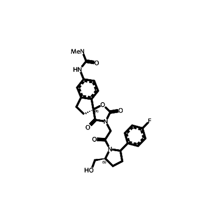 CNC(=O)Nc1ccc2c(c1)CC[C@@]21OC(=O)N(CC(=O)N2C(c3ccc(F)cc3)CC[C@H]2CO)C1=O